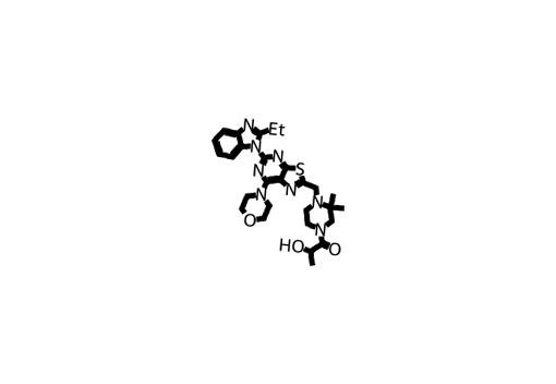 CCc1nc2ccccc2n1-c1nc(N2CCOCC2)c2nc(CN3CCN(C(=O)C(C)O)CC3(C)C)sc2n1